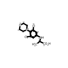 CC(Nc1cc(Cl)c(N2CCOCC2)c(Cl)c1)C(=O)O